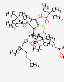 CCCC[C@@H](C)C[C@@H](/C=C/[C@@H]1C(SCCCCCC(=O)OC)=C(OC(=O)C(C)(C)C)C[C@H]1O[Si](C)(C)C(C)(C)C)O[Si](C)(C)C(C)(C)C